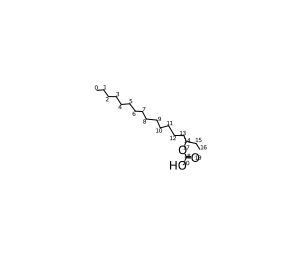 CCCCCCCCCCCCCCC(CC)OC(=O)O